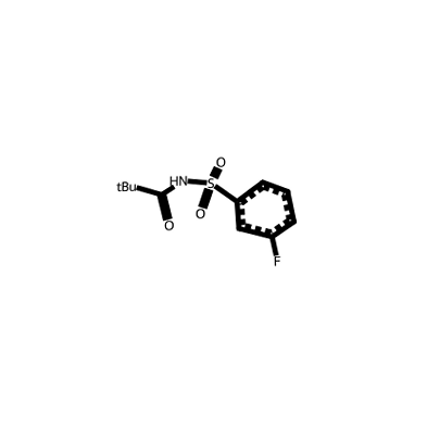 CC(C)(C)C(=O)NS(=O)(=O)c1cccc(F)c1